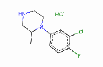 CC1CNCCN1c1ccc(F)c(Cl)c1.Cl